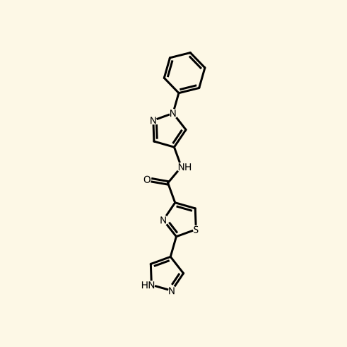 O=C(Nc1cnn(-c2ccccc2)c1)c1csc(-c2cn[nH]c2)n1